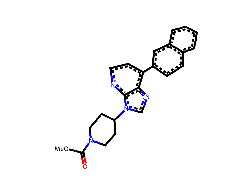 COC(=O)N1CCC(n2cnc3c(-c4ccc5ccccc5c4)ccnc32)CC1